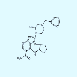 C[C@]1(F)CCC[C@H]1Nc1c(C(N)=O)cnn2cc(N3CCN(Cc4ccccc4)CC3=O)cc12